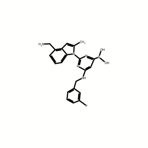 Cc1cc2c(CN)cccc2n1-c1nc(NCc2cccc(F)c2)cc(B(O)O)n1